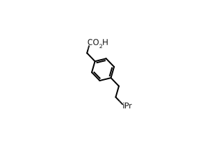 CC(C)CCc1ccc(CC(=O)O)cc1